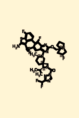 CC(C)[C@H]1N(C(=O)n2cnc(C(F)F)n2)C[C@]12CC[C@H](C)N(c1nc(OC[C@@]34CCCN3C[C@H](F)C4)nc3c(F)c(-c4ccc(F)c5sc(N)c(C#N)c45)c(Cl)cc13)C2